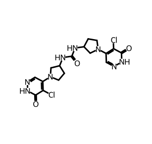 O=C(NC1CCN(c2cn[nH]c(=O)c2Cl)C1)NC1CCN(c2cn[nH]c(=O)c2Cl)C1